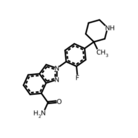 CC1(c2ccc(-n3cc4cccc(C(N)=O)c4n3)c(F)c2)CCCNC1